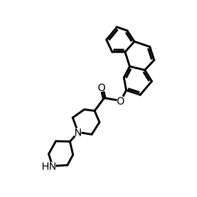 O=C(Oc1ccc2ccc3ccccc3c2c1)C1CCN(C2CCNCC2)CC1